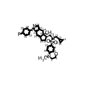 CN1CCOc2cc(S(=O)(=O)N(CC3CC3)C[C@H]3CCC4=Cc5c(cnn5-c5ccc(F)cc5)C[C@@]43C)ccc21